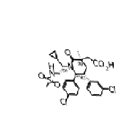 C[C@]1(CC(=O)O)C[C@H](c2cccc(Cl)c2)[C@@H](c2ccc(Cl)cc2)N([C@H](CNS(C)(=O)=O)C2CC2)C1=O